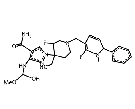 COC(O)Nc1nn(C2(CC#N)CCN(CC3=C(F)N(C)C(c4ccccc4)C=C3)CC2F)cc1C(N)=O